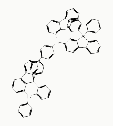 c1ccc(N2c3ccccc3C3(c4ccccc4)c4cc(-c5ccc(N(c6ccc7c(c6)C(c6ccccc6)(c6ccccc6)c6ccccc6-7)c6cccc7c6oc6ccccc67)cc5)ccc4-c4cccc2c43)cc1